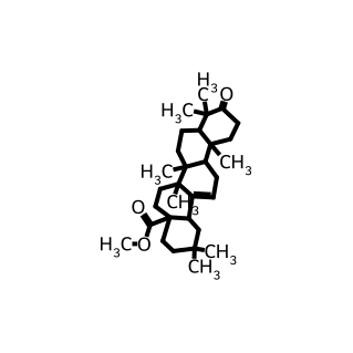 COC(=O)C12CCC(C)(C)CC1C1=CCC3C4(C)CCC(=O)C(C)(C)C4CCC3(C)C1(C)CC2